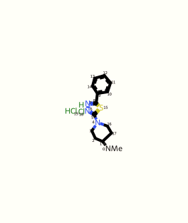 CNC1CCN(c2nnc(-c3ccccc3)s2)CC1.Cl.Cl